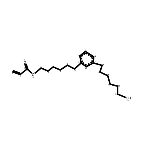 C=CC(=O)OCCCCCCc1cccc(CCCCCCO)c1